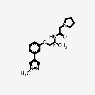 C[C@@H](COc1c[c]cc(-c2cnn(C)c2)c1)NC(=O)CN1CCCC1